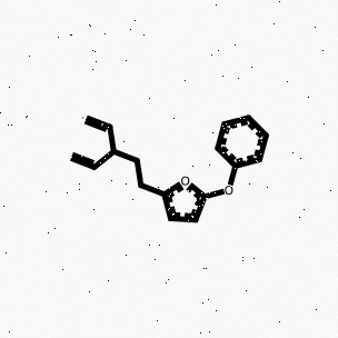 [CH]=CC(C=C)CCc1ccc(Oc2ccccc2)o1